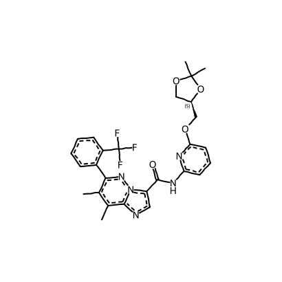 Cc1c(-c2ccccc2C(F)(F)F)nn2c(C(=O)Nc3cccc(OC[C@H]4COC(C)(C)O4)n3)cnc2c1C